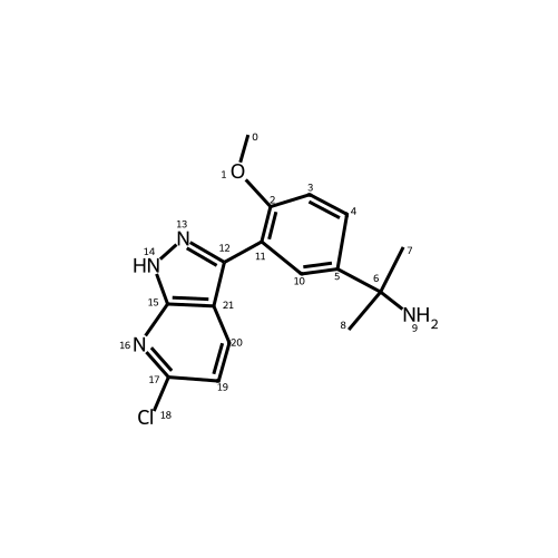 COc1ccc(C(C)(C)N)cc1-c1n[nH]c2nc(Cl)ccc12